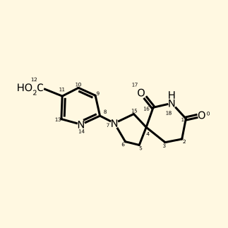 O=C1CCC2(CCN(c3ccc(C(=O)O)cn3)C2)C(=O)N1